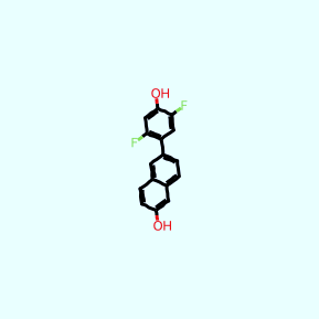 Oc1ccc2cc(-c3cc(F)c(O)cc3F)ccc2c1